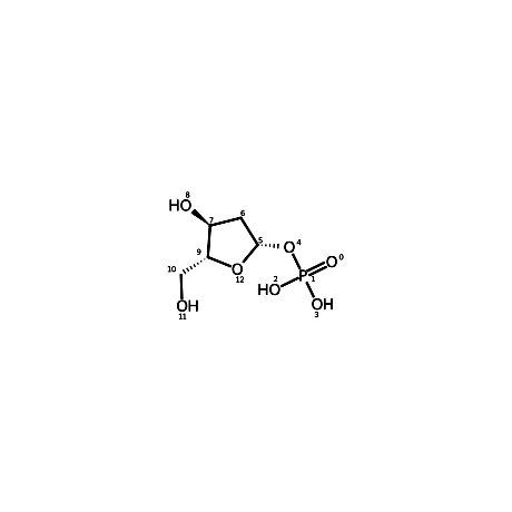 O=P(O)(O)O[C@H]1C[C@H](O)[C@@H](CO)O1